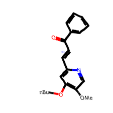 CCCCOc1cc(/C=C/C(=O)c2ccccc2)ncc1OC